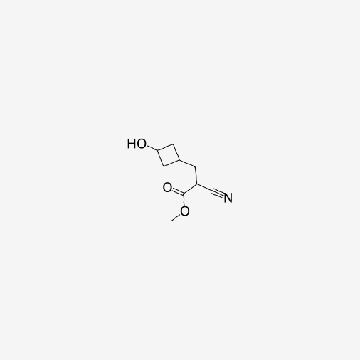 COC(=O)C(C#N)CC1CC(O)C1